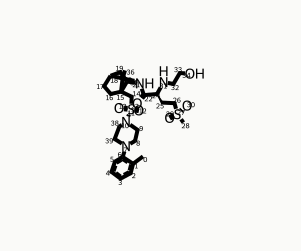 Cc1ccccc1N1CCN(S(=O)(=O)CC23CCC(CC2NC(=O)[C@H](CCS(C)(=O)=O)NCCO)C3(C)C)CC1